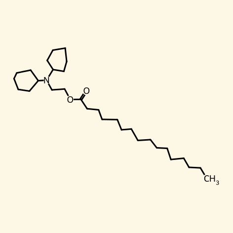 CCCCCCCCCCCCCCCC(=O)OCCN(C1CCCCC1)C1CCCCC1